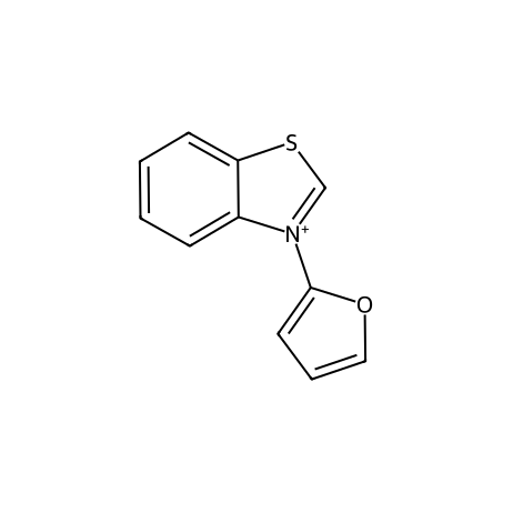 c1coc(-[n+]2csc3ccccc32)c1